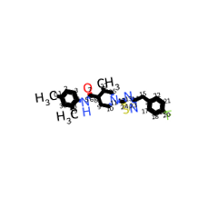 Cc1ccc(NC(=O)C2CCN(c3nc(Cc4ccc(F)cc4)ns3)CC2C)c(C)c1